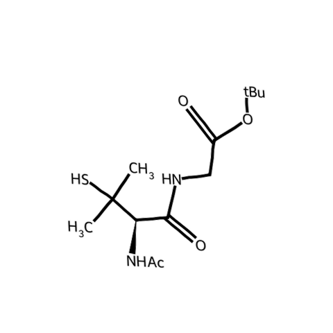 CC(=O)N[C@H](C(=O)NCC(=O)OC(C)(C)C)C(C)(C)S